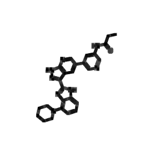 CCC(=O)Nc1cncc(-c2cnc3[nH]nc(-c4nc5c(N6CCCCC6)cccc5[nH]4)c3c2)c1